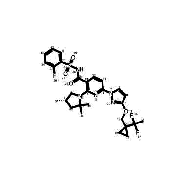 C[C@@H]1CN(c2nc(-n3ccc(OCC4(C(C)(F)F)CC4)n3)ccc2C(=O)NS(=O)(=O)c2ccccc2F)C(C)(C)C1